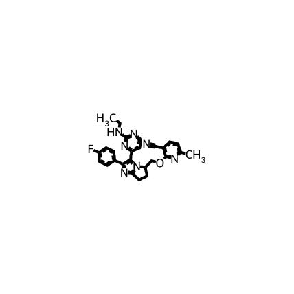 CCNc1nccc(-c2c(-c3ccc(F)cc3)nc3n2C(COc2nc(C)ccc2C#N)CC3)n1